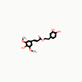 COc1cc(/C=C/C(=O)OCCc2ccc(O)c(O)c2)cc(OC)c1O